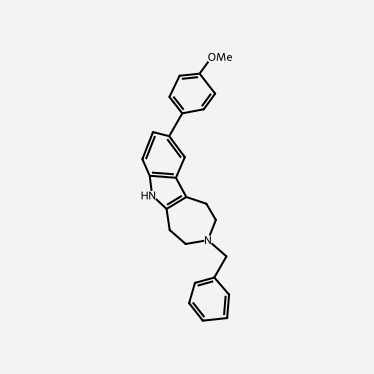 COc1ccc(-c2ccc3[nH]c4c(c3c2)CCN(Cc2ccccc2)CC4)cc1